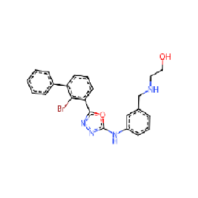 OCCNCc1cccc(Nc2nnc(-c3cccc(-c4ccccc4)c3Br)o2)c1